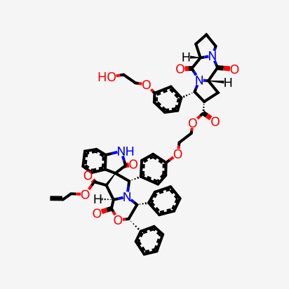 C=CCOC(=O)C1[C@@H]2C(=O)O[C@@H](c3ccccc3)[C@@H](c3ccccc3)N2[C@@H](c2ccc(OCCOC(=O)[C@H]3C[C@H]4C(=O)N5CCC[C@H]5C(=O)N4[C@H]3c3cccc(OCCO)c3)cc2)[C@]12C(=O)Nc1ccccc12